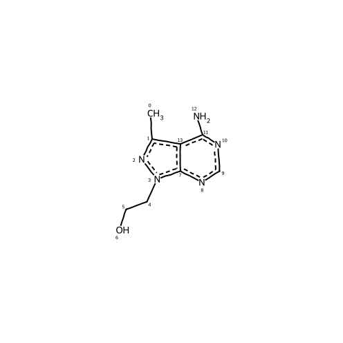 Cc1nn(CCO)c2ncnc(N)c12